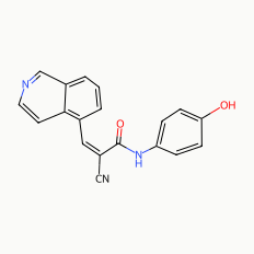 N#CC(=Cc1cccc2cnccc12)C(=O)Nc1ccc(O)cc1